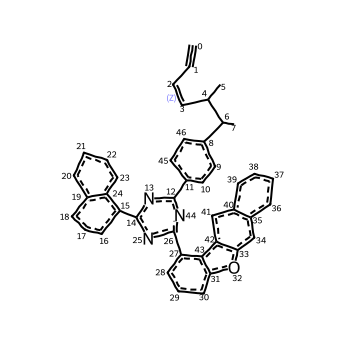 C#C/C=C\C(C)C(C)c1ccc(-c2nc(-c3cccc4ccccc34)nc(-c3cccc4oc5cc6ccccc6cc5c34)n2)cc1